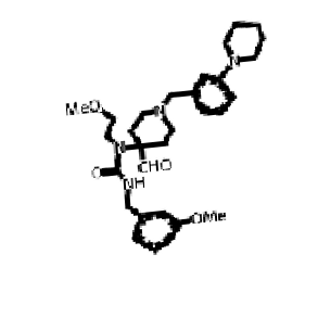 COCCN(C(=O)NCc1cccc(OC)c1)C1(C=O)CCN(Cc2cccc(N3CCCCC3)c2)CC1